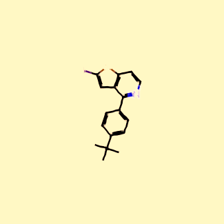 CC(C)(C)c1ccc(-c2nccc3sc(I)cc23)cc1